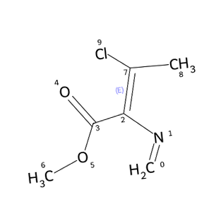 C=N/C(C(=O)OC)=C(\C)Cl